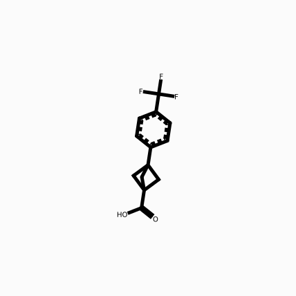 O=C(O)C12CC(c3ccc(C(F)(F)F)cc3)(C1)C2